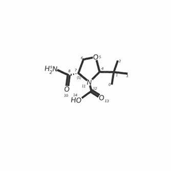 CC(C)(C)C1OC[C@@H](C(N)=O)N1C(=O)O